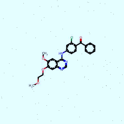 COCCOc1cc2ncnc(Nc3ccc(C(=O)c4ccccc4)c(Cl)c3)c2cc1OC